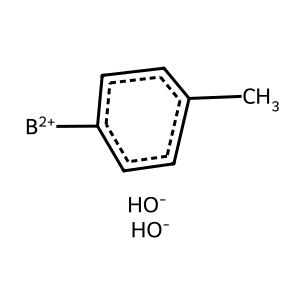 [B+2]c1ccc(C)cc1.[OH-].[OH-]